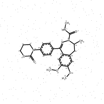 CNC(=O)N1N=C(c2ccc(N3CCCOC3=O)cc2)c2cc(OC)c(OC)cc2CC1C